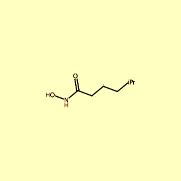 CC(C)C[CH]CC(=O)NO